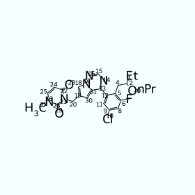 CCCOC(CC)Cc1c(F)cc(Cl)cc1-c1ncnn2cc(Cn3c(=O)ccn(C)c3=O)cc12